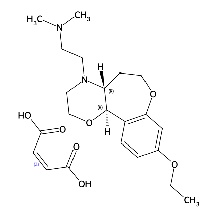 CCOc1ccc2c(c1)OCC[C@@H]1[C@@H]2OCCN1CCN(C)C.O=C(O)/C=C\C(=O)O